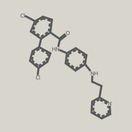 O=C(Nc1ccc(NCCc2ccccn2)cc1)c1ccc(Cl)cc1-c1ccc(Cl)cc1